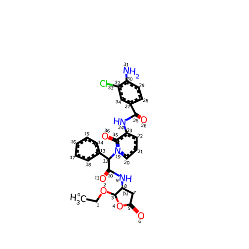 CCOC1OC(=O)C[C@@H]1NC(=O)C(c1ccccc1)n1cccc(NC(=O)c2ccc(N)c(Cl)c2)c1=O